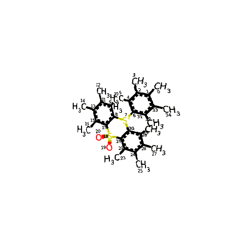 Cc1c(C)c(C)c([S+]2c3c(C)c(C)c(C)c(C)c3S(=O)(=O)c3c(C)c(C)c(C)c(C)c32)c(C)c1C